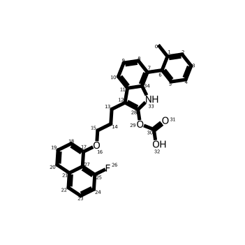 Cc1ccccc1-c1cccc2c(CCCOc3cccc4cccc(F)c34)c(OC(=O)O)[nH]c12